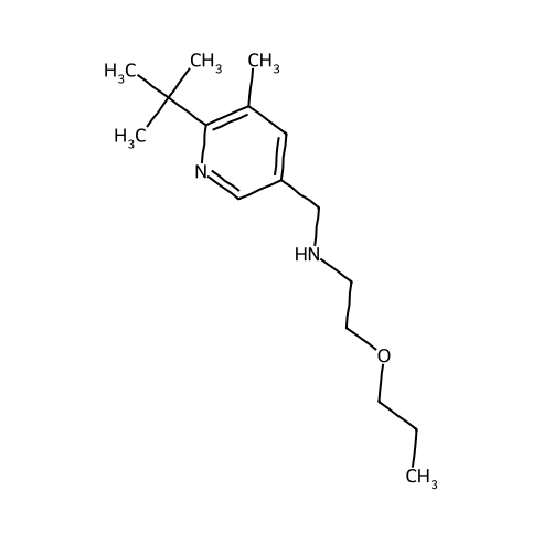 CCCOCCNCc1cnc(C(C)(C)C)c(C)c1